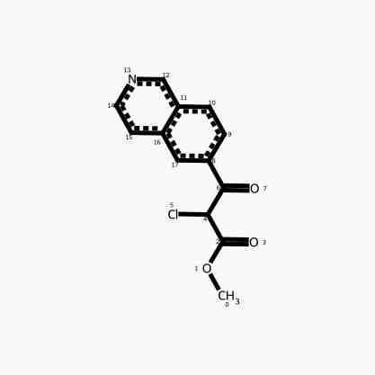 COC(=O)C(Cl)C(=O)c1ccc2cnccc2c1